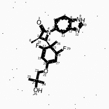 C[C@H]1C(=O)N(c2ccc3[nH]cnc3c2)[C@H]1C1(C)C(F)=CC(OCC(C)(C)O)=CC1F